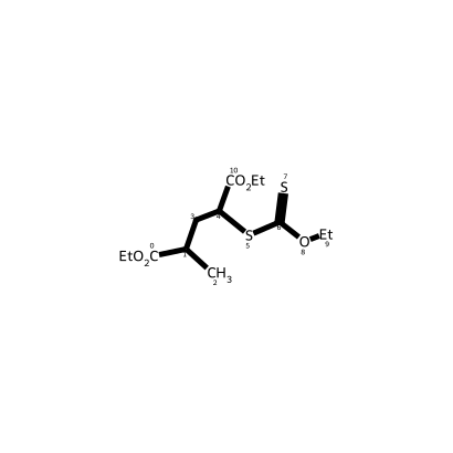 CCOC(=O)C(C)CC(SC(=S)OCC)C(=O)OCC